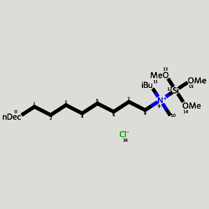 CCCCCCCCCCCCCCCCCC[N+](C)(C(C)CC)[Si](OC)(OC)OC.[Cl-]